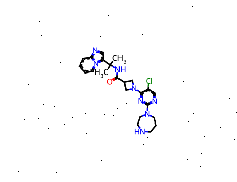 CC(C)(NC(=O)C1CN(c2nc(N3CCCNCC3)ncc2Cl)C1)c1cnc2ccccn12